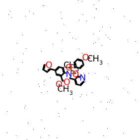 COC(=O)c1cc(-c2ccco2)cc(C)c1N(Cc1cccnc1)S(=O)(=O)c1ccc(OC)cc1